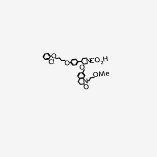 COCCCN1C(=O)CCc2ccc(COC3CN(C(=O)O)CCC3c3ccc(OCCCCOc4ccccc4Cl)cc3)cc21